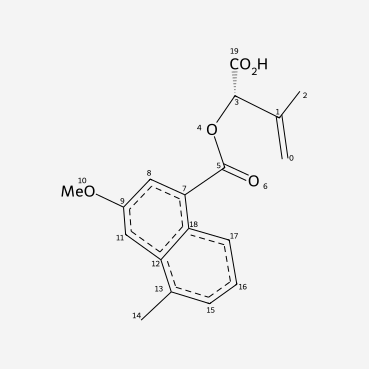 C=C(C)[C@H](OC(=O)c1cc(OC)cc2c(C)cccc12)C(=O)O